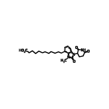 Cn1c(=O)n(C2CCC(=O)NC2=O)c2cccc(CCCCCCCCCCCC(=O)O)c21